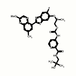 COc1cnc2c(-c3nc4cc(F)c(O[C@@H](C)COC(=O)Nc5ccnc(C(=O)NCC(C)(C)O)c5)cc4s3)cc(C)cc2n1